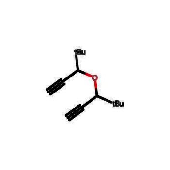 C#CC(OC(C#C)C(C)(C)C)C(C)(C)C